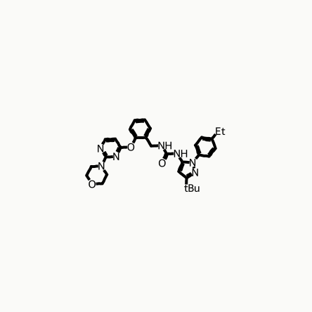 CCc1ccc(-n2nc(C(C)(C)C)cc2NC(=O)NCc2ccccc2Oc2ccnc(N3CCOCC3)n2)cc1